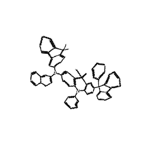 CC1(C)c2ccccc2-c2cc(N(C3=CCC4C=CC=CC4=C3)c3ccc4c(c3)C(C)(C)c3cc(C5(c6ccccc6)c6ccccc6-c6ccccc65)ccc3N4c3ccccc3)ccc21